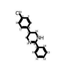 Clc1ccc(C2CN=C(c3ccccc3)NC2)cc1